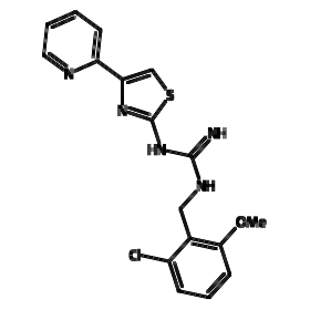 COc1cccc(Cl)c1CNC(=N)Nc1nc(-c2ccccn2)cs1